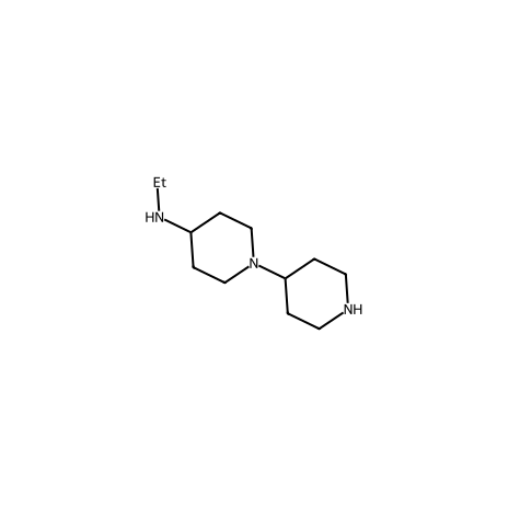 CCNC1CCN(C2CCNCC2)CC1